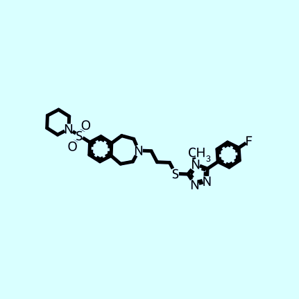 Cn1c(SCCCN2CCc3ccc(S(=O)(=O)N4CCCCC4)cc3CC2)nnc1-c1ccc(F)cc1